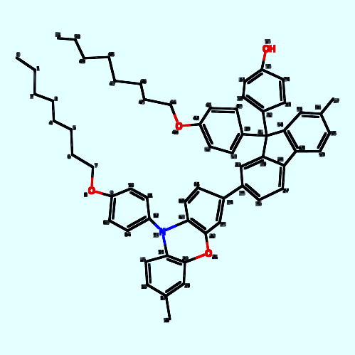 CCCCCCCCOc1ccc(N2c3ccc(C)cc3Oc3cc(-c4ccc5c(c4)C(c4ccc(O)cc4)(c4ccc(OCCCCCCCC)cc4)c4cc(C)ccc4-5)ccc32)cc1